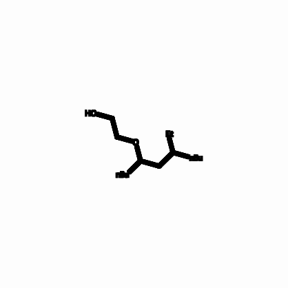 CCCCC(CC)CC(CCCC)OCCO